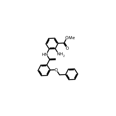 C=C(Nc1cccc(C(=O)OC)c1N)c1ccccc1OCc1ccccc1